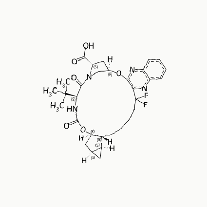 CC(C)(C)[C@@H]1NC(=O)O[C@@H]2C[C@@H]3C[C@@H]3[C@H]2CCCCC(F)(F)c2nc3ccccc3nc2O[C@@H]2C[C@@H](C(=O)O)N(C2)C1=O